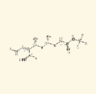 CN/C=C(\C(C)=N)C(=O)CC(F)CNC(=O)OC(C)(C)C